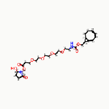 O=C(CCOCCOCCOCCOCCNC(=O)OCC1C2CC/C=C\CCC21)ON1C(=O)CCC1O